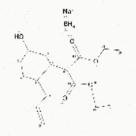 C=CCC1CCC(O)CC1C(C(=O)OCC)C(=O)OCC.[BH4-].[Na+]